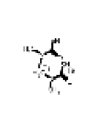 CN(C)C(=O)S.CN(C)C(=O)S.[Te]